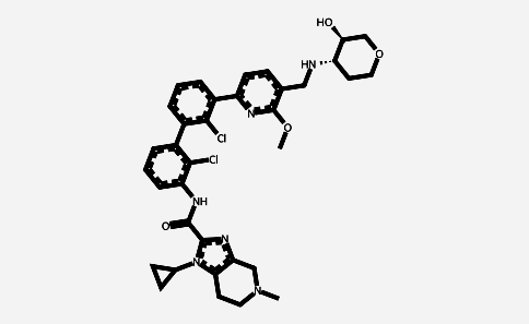 COc1nc(-c2cccc(-c3cccc(NC(=O)c4nc5c(n4C4CC4)CCN(C)C5)c3Cl)c2Cl)ccc1CN[C@H]1CCOC[C@@H]1O